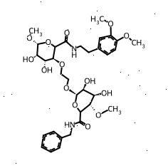 COc1ccc(CCNC(=O)C2O[C@@H](OC)[C@@H](O)[C@@H](O)[C@@H]2OCCO[C@@H]2OC(C(=O)NCc3ccccc3)[C@@H](OC)[C@H](O)[C@@H]2O)cc1OC